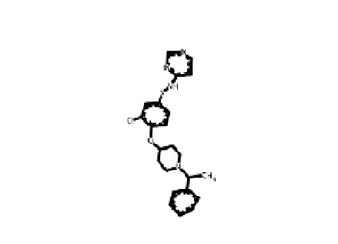 CC(c1ccccc1)N1CCC(Oc2ccc(SNc3ccncn3)cc2Cl)CC1